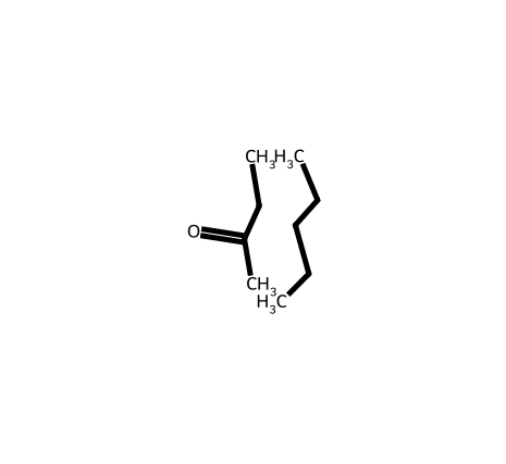 CCC(C)=O.CCCCC